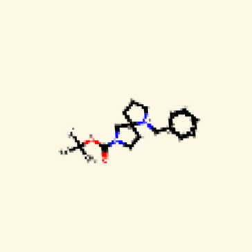 CC(C)(C)OC(=O)N1CCC2(CCCN2Cc2ccccc2)C1